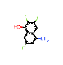 Nc1cc(F)cc2c(O)c(F)c(F)cc12